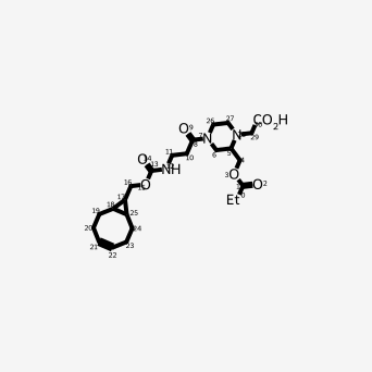 CCC(=O)OCC1CN(C(=O)CCNC(=O)OCC2C3CCC#CCCC32)CCN1CC(=O)O